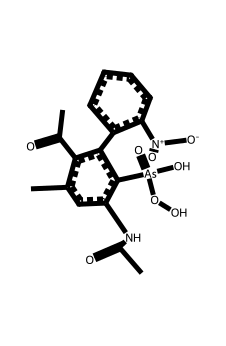 CC(=O)Nc1cc(C)c(C(C)=O)c(-c2ccccc2[N+](=O)[O-])c1[As](=O)(O)OO